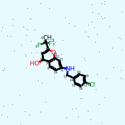 CC(F)(F)C1=CC(O)c2ccc(NCc3ccc(Cl)cc3)cc2O1